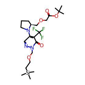 CC(C)(C)OC(=O)COC[C@@H]1CCCN1c1cnn(COCC[Si](C)(C)C)c(=O)c1C(F)(F)F